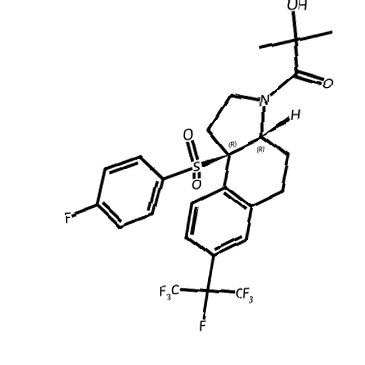 CC(C)(O)C(=O)N1CC[C@@]2(S(=O)(=O)c3ccc(F)cc3)c3ccc(C(F)(C(F)(F)F)C(F)(F)F)cc3CC[C@@H]12